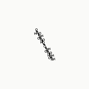 CNCC(=O)NCC(=O)NCC(=O)NCCOCCOCC(=O)NCC(=O)NCC(=O)NCC=O